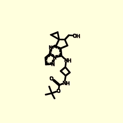 CC(C)(C)OC(=O)NC1CC(Nc2c3c(nc4ccnn24)C2(CC2)C(CO)C3)C1